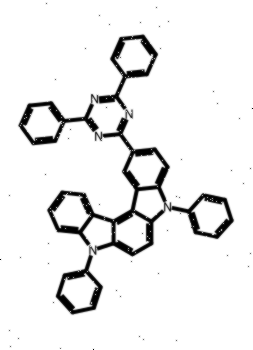 c1ccc(-c2nc(-c3ccccc3)nc(-c3ccc4c(c3)c3c5c6ccccc6n(-c6ccccc6)c5ccc3n4-c3ccccc3)n2)cc1